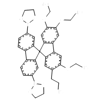 CCC(C)CCc1cc2c(cc1OCC(C)CC)-c1cc(OCC(C)CC)c(OCC(C)CC)cc1C21c2cc(B3OCCO3)ccc2-c2ccc(B3OCCO3)cc21